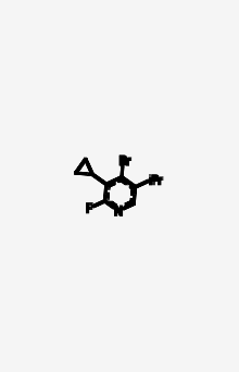 CC(C)c1cnc(F)c(C2CC2)c1Br